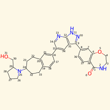 O=C1NCCOc2cc(-c3n[nH]c4ncc(-c5ccc6c(c5)CCC(N5CCCC5CO)CC6)cc34)ccc21